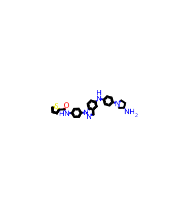 NC1CCN(c2ccc(Nc3ccc4c(cnn4-c4ccc(NC(=O)c5cccs5)cc4)c3)cc2)C1